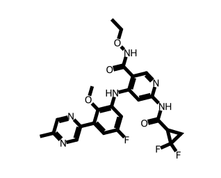 CCONC(=O)c1cnc(NC(=O)C2CC2(F)F)cc1Nc1cc(F)cc(-c2cnc(C)cn2)c1OC